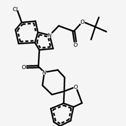 CC(C)(C)OC(=O)Cn1cc(C(=O)N2CCC3(CC2)OCc2ccccc23)c2ccc(Cl)cc21